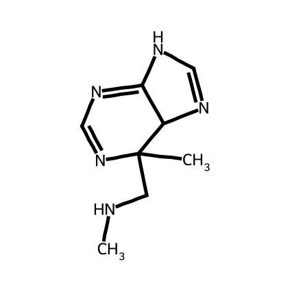 CNCC1(C)N=CN=C2NC=NC21